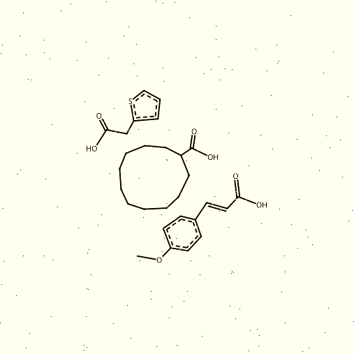 COc1ccc(/C=C/C(=O)O)cc1.O=C(O)C1CCCCCCCCCC1.O=C(O)Cc1cccs1